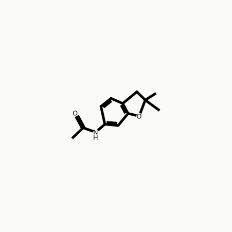 CC(=O)Nc1ccc2c(c1)OC(C)(C)C2